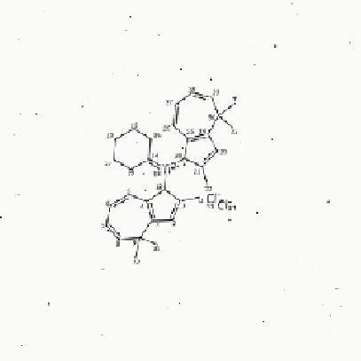 CC1=CC2=C(C=CC=CC2(C)C)[CH]1[Ti+2](=[C]1CCCCC1)[CH]1C(C)=CC2=C1C=CC=CC2(C)C.[Cl-].[Cl-]